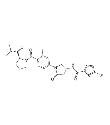 Cc1cc(N2CC(NC(=O)c3ccc(Br)s3)CC2=O)ccc1C(=O)N1CCC[C@H]1C(=O)N(C)C